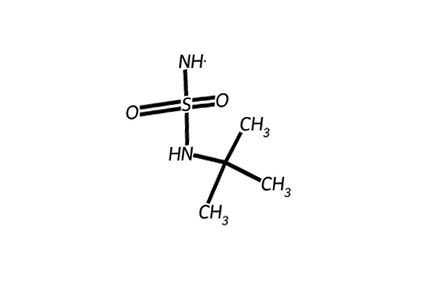 CC(C)(C)NS([NH])(=O)=O